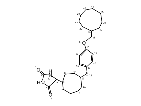 O=C1NC(=O)C(C2CCCCC(Sc3ccc(OCC4CCCCCCCC4)cc3)CC2)N1